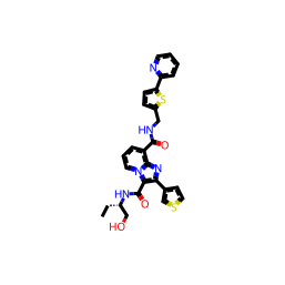 CC[C@@H](CO)NC(=O)c1c(-c2ccsc2)nc2c(C(=O)NCc3ccc(-c4ccccn4)s3)cccn12